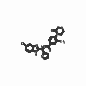 Cc1cc(C(=O)NC(c2nc3cc(Cl)ccc3[nH]2)c2cccs2)ccc1N1CCOCC1=O